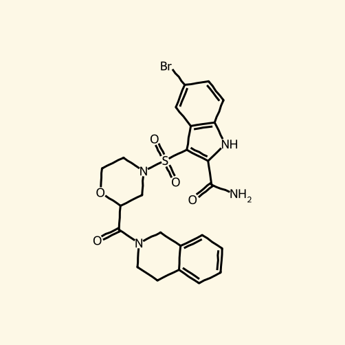 NC(=O)c1[nH]c2ccc(Br)cc2c1S(=O)(=O)N1CCOC(C(=O)N2CCc3ccccc3C2)C1